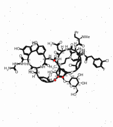 CN[C@H](CC(C)C)C(=O)N[C@H]1C(=O)N[C@@H](CC(N)=O)C(=O)N[C@H]2C(=O)N[C@H]3C(=O)N[C@H](C(=O)N[C@@H](C(=O)NNC(N)=O)c4cc(O)cc(O)c4-c4cc3ccc4O)[C@H](O)c3ccc(c(Cl)c3)Oc3cc2cc(c3O[C@@H]2O[C@H](CO)[C@@H](O)[C@H](O)[C@H]2O[C@H]2C[C@](C)(NCCn3ccc(NC(=O)Cc4ccc(F)c(Cl)c4)nc3=O)[C@H](O)[C@H](C)O2)Oc2ccc(cc2Cl)[C@H]1O